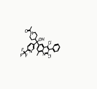 CC(=O)N1CCC(C(O)(c2ccc(C(F)(F)F)nc2)c2cc(C)c3nc(Cl)c(-c4ccccc4)c(Cl)c3c2)CC1